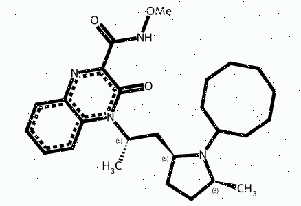 CONC(=O)c1nc2ccccc2n([C@@H](C)C[C@@H]2CC[C@H](C)N2C2CCCCCCC2)c1=O